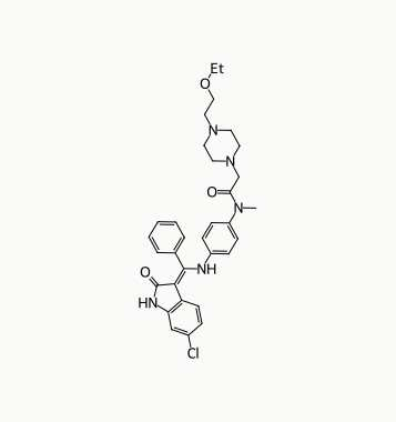 CCOCCN1CCN(CC(=O)N(C)c2ccc(NC(=C3C(=O)Nc4cc(Cl)ccc43)c3ccccc3)cc2)CC1